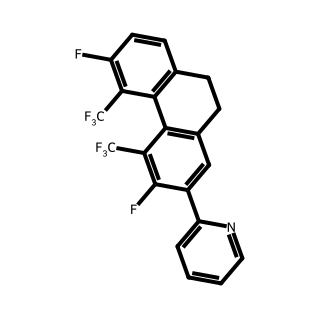 Fc1ccc2c(c1C(F)(F)F)-c1c(cc(-c3ccccn3)c(F)c1C(F)(F)F)CC2